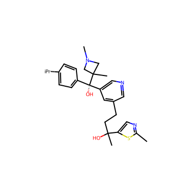 Cc1ncc(C(C)(O)CCc2cncc([C@@](O)(c3ccc(C(C)C)cc3)C3(C)CN(C)C3)c2)s1